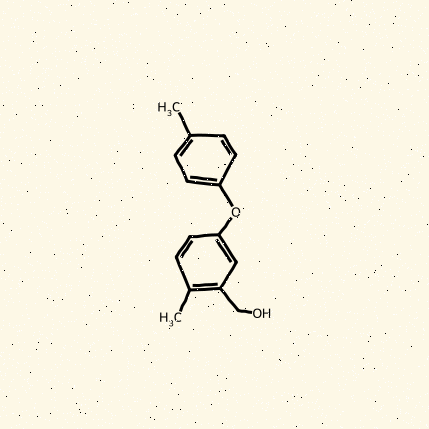 Cc1ccc(Oc2ccc(C)c(CO)c2)cc1